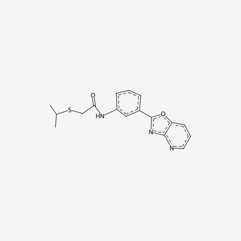 CC(C)SCC(=O)Nc1cccc(-c2nc3ncccc3o2)c1